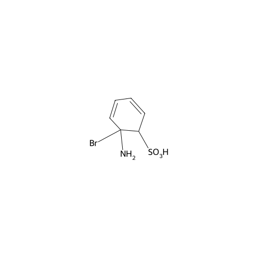 NC1(Br)C=CC=CC1S(=O)(=O)O